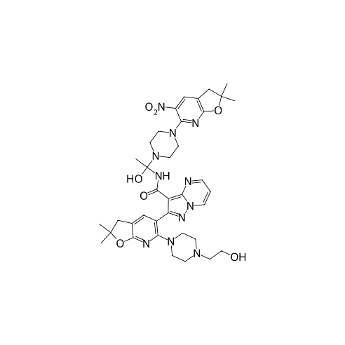 CC1(C)Cc2cc(-c3nn4cccnc4c3C(=O)NC(C)(O)N3CCN(c4nc5c(cc4[N+](=O)[O-])CC(C)(C)O5)CC3)c(N3CCN(CCO)CC3)nc2O1